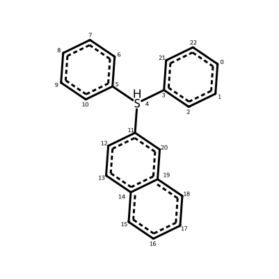 c1ccc([SH](c2ccccc2)c2ccc3ccccc3c2)cc1